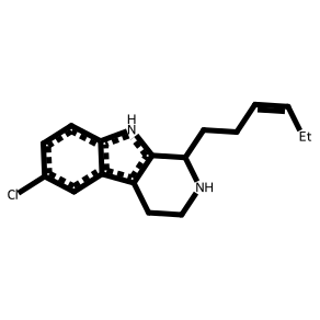 CC/C=C\CCC1NCCc2c1[nH]c1ccc(Cl)cc21